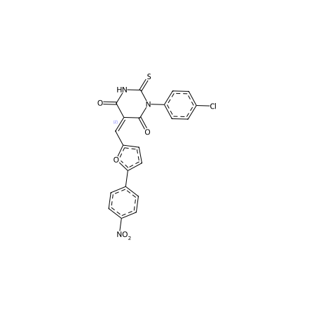 O=C1NC(=S)N(c2ccc(Cl)cc2)C(=O)/C1=C\c1ccc(-c2ccc([N+](=O)[O-])cc2)o1